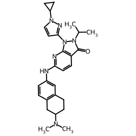 CC(C)n1c(=O)c2ccc(Nc3ccc4c(c3)CCC(N(C)C)C4)nc2n1-c1ccn(C2CC2)n1